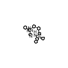 N=C(c1cc2ccccc2cc1Nc1ccccc1)C1C=CC=C(c2cccc(-c3cccc(-c4nc(-c5ccccc5)nc(-c5ccncc5)n4)c3)c2)C1